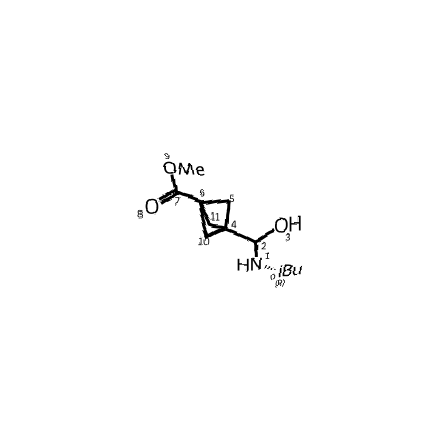 CC[C@@H](C)NC(O)C12CC(C(=O)OC)(C1)C2